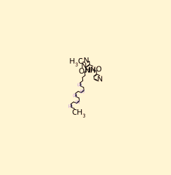 CC/C=C\C/C=C\C/C=C\C/C=C\C/C=C\CCCC(=O)Nc1nc(C)ncc1CNC(=O)c1cccnc1